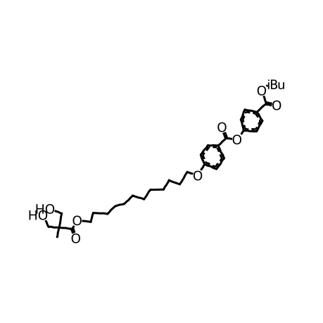 CCC(C)OC(=O)c1ccc(OC(=O)c2ccc(OCCCCCCCCCCCCOC(=O)C(C)(CO)CO)cc2)cc1